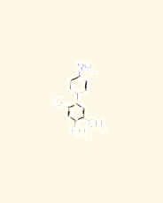 Cc1cc(Cl)c(C2C=CC(N)=CC2)cc1C